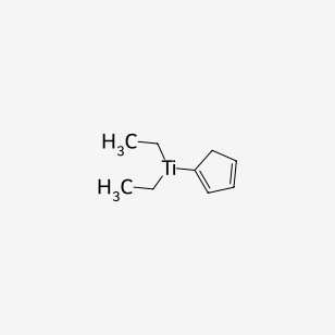 C[CH2][Ti]([CH2]C)[C]1=CC=CC1